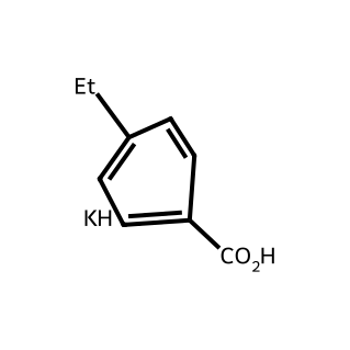 CCc1ccc(C(=O)O)cc1.[KH]